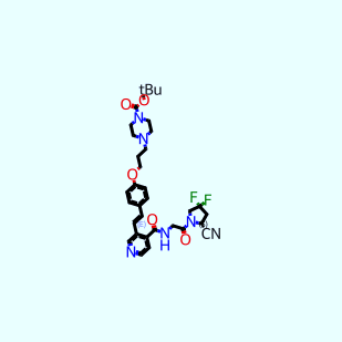 CC(C)(C)OC(=O)N1CCN(CCCOc2ccc(/C=C/c3cnccc3C(=O)NCC(=O)N3CC(F)(F)C[C@H]3C#N)cc2)CC1